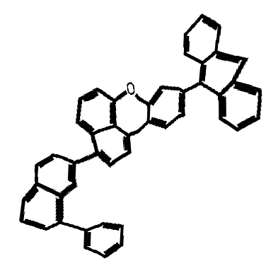 c1ccc(-c2cccc3ccc(-c4ccc5c6c(cccc46)Oc4cc(-c6c7ccccc7cc7ccccc67)ccc4-5)cc23)cc1